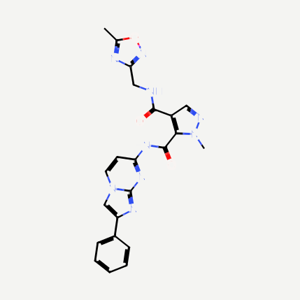 Cc1nc(CNC(=O)c2cnn(C)c2C(=O)Nc2ccn3cc(-c4ccccc4)nc3n2)no1